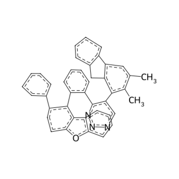 Cc1cc2c(c(-c3cnnnc3-c3ccccc3-c3c(-c4ccccc4)ccc4oc5ccccc5c34)c1C)Cc1ccccc1-2